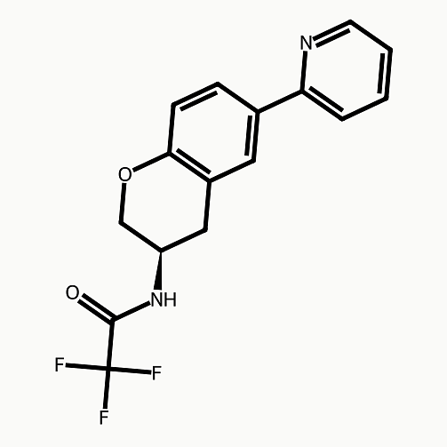 O=C(N[C@H]1COc2ccc(-c3ccccn3)cc2C1)C(F)(F)F